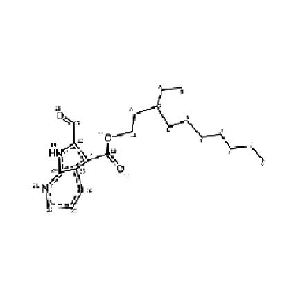 CCCCCCCC(CC)CCOC(=O)c1c(C=O)[nH]c2ncccc12